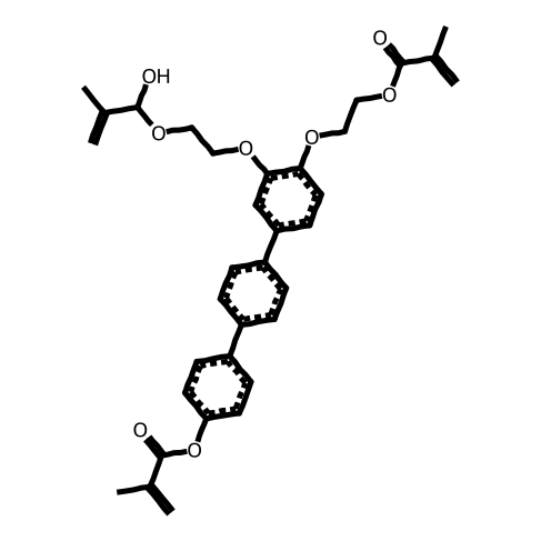 C=C(C)C(=O)OCCOc1ccc(-c2ccc(-c3ccc(OC(=O)C(=C)C)cc3)cc2)cc1OCCOC(O)C(=C)C